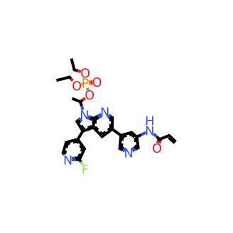 C=CC(=O)Nc1cncc(-c2cnc3c(c2)c(-c2ccnc(F)c2)cn3C(C)OP(=O)(OCC)OCC)c1